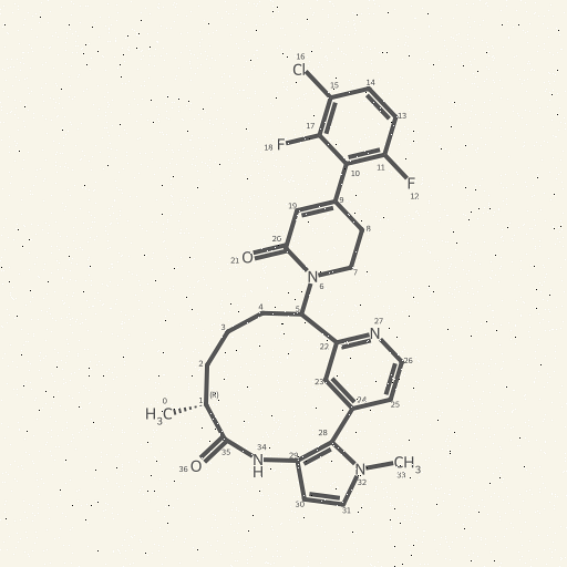 C[C@@H]1CCCC(N2CCC(c3c(F)ccc(Cl)c3F)=CC2=O)c2cc(ccn2)-c2c(ccn2C)NC1=O